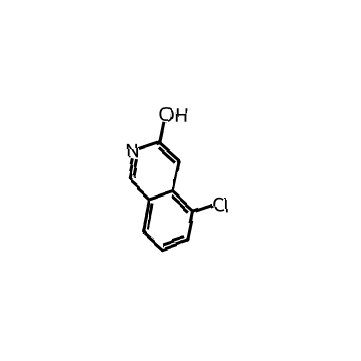 Oc1cc2c(Cl)cccc2cn1